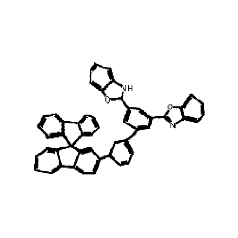 C1=CC(c2ccc3c(c2)C2(c4ccccc4-c4ccccc42)c2ccccc2-3)CC(c2cc(-c3nc4ccccc4o3)cc(C3Nc4ccccc4O3)c2)=C1